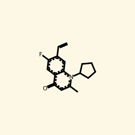 C=Cc1cc2c(cc1F)c(=O)cc(C)n2C1CCCC1